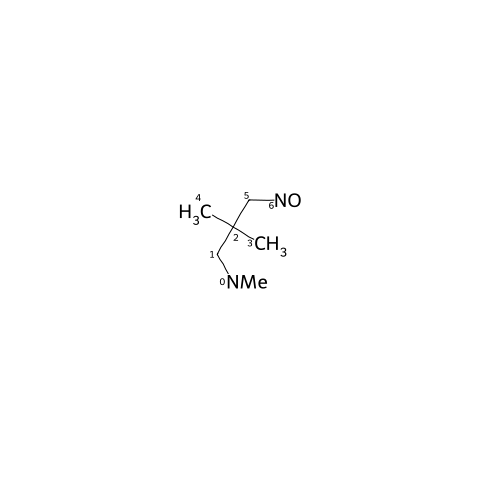 CNCC(C)(C)CN=O